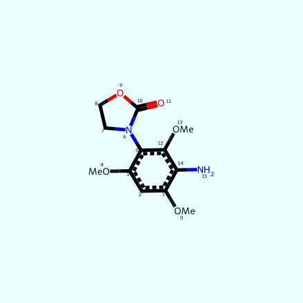 COc1cc(OC)c(N2CCOC2=O)c(OC)c1N